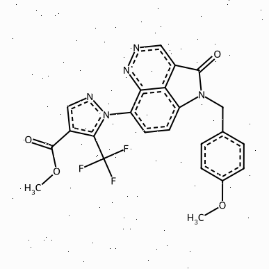 COC(=O)c1cnn(-c2ccc3c4c(cnnc24)C(=O)N3Cc2ccc(OC)cc2)c1C(F)(F)F